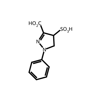 O=C(O)C1=NN(c2ccccc2)CC1S(=O)(=O)O